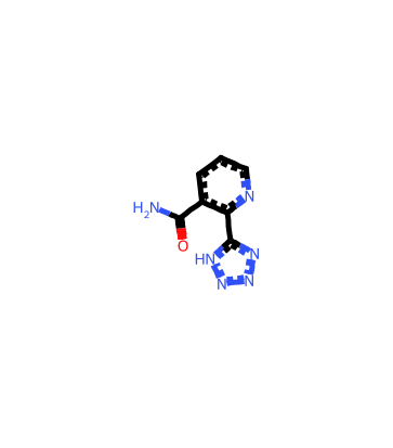 NC(=O)c1cccnc1-c1nnn[nH]1